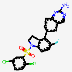 Nc1ncc2cc(-c3c(F)ccc4c3CCN4S(=O)(=O)c3cc(Cl)ccc3Cl)ccc2n1